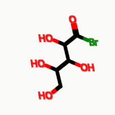 O=C(Br)C(O)C(O)C(O)CO